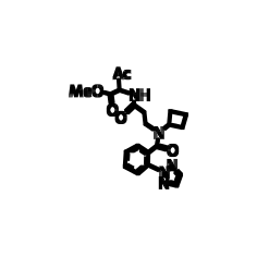 COC(=O)C(NC(=O)CCN(C(=O)c1ccccc1-n1nccn1)C1CCC1)C(C)=O